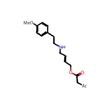 COc1ccc(CCNC/C=C/COC(=O)CC(C)=O)cc1